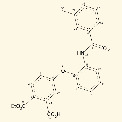 CCOC(=O)c1ccc(Oc2ccccc2NC(=O)c2cccc(C)c2)cc1C(=O)O